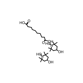 CC1(C)CC(O)CC(C)(C)N1O.CC1(C)CC(O)CC(C)(C)N1O.O=C(O)CCCCCCCCC(=O)O